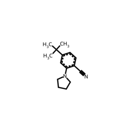 CC(C)(C)c1ccc(C#N)c(N2CCCC2)c1